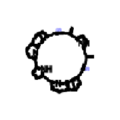 C=C1/C=C\c2ccc3ccc(nc3c2C)-c2ccc([nH]2)-c2ccc3ccc(c(C)c3n2)/C=C\C(=C)c2ccc1[nH]2